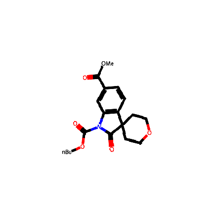 CCCCOC(=O)N1C(=O)C2(CCOCC2)c2ccc(C(=O)OC)cc21